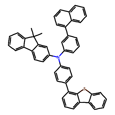 CC1(C)c2ccccc2-c2ccc(N(c3ccc(-c4cccc5c4sc4ccccc45)cc3)c3cccc(-c4cccc5ccccc45)c3)cc21